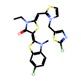 CCn1c(=O)/c(=C2\Sc3cc(Cl)ccc3N2C)s/c1=C\c1scc[n+]1Cc1cnc(Cl)s1